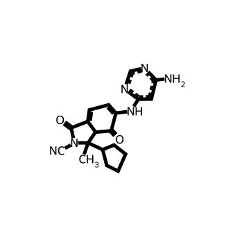 CC1(C2CCCC2)C2C(=O)C(Nc3cc(N)ncn3)=CC=C2C(=O)N1C#N